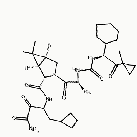 CC1(C(=O)[C@@H](NC(=O)N[C@H](C(=O)N2C[C@H]3[C@@H]([C@H]2C(=O)NC(CC2CCC2)C(=O)C(N)=O)C3(C)C)C(C)(C)C)C2CCCCC2)CC1